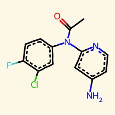 CC(=O)N(c1ccc(F)c(Cl)c1)c1cc(N)ccn1